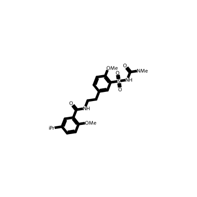 CNC(=O)NS(=O)(=O)c1cc(CCNC(=O)c2cc(C(C)C)ccc2OC)ccc1OC